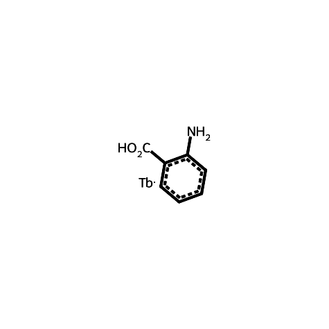 Nc1ccccc1C(=O)O.[Tb]